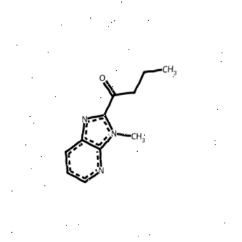 CCCC(=O)c1nc2cccnc2n1C